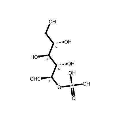 O=C[C@H](OP(=O)(O)O)[C@@H](O)[C@@H](O)[C@@H](O)CO